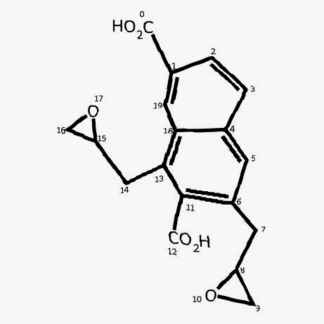 O=C(O)c1ccc2cc(CC3CO3)c(C(=O)O)c(CC3CO3)c2c1